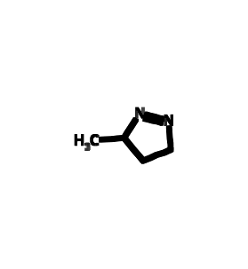 CC1CCN=N1